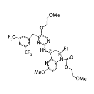 CC[C@@H]1C[C@H](Nc2ncc(OCCOC)c(Cc3cc(C(F)(F)F)cc(C(F)(F)F)c3)n2)c2nc(OC)ccc2N1C(=O)OCCOC